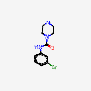 O=C(Nc1cccc(Br)c1)N1CC[N]CC1